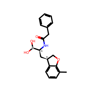 Cc1cccc2c1OC[C@@H]2C[C@H](NC(=O)Cc1ccccc1)B(O)O